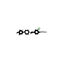 CCCCCCc1ccc(C#C[C@H]2CC[C@H](c3ccc(C)cc3)CC2)cc1Cl